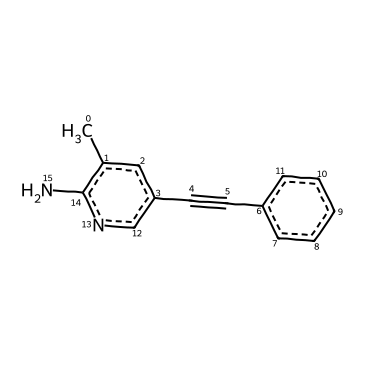 Cc1cc(C#Cc2ccccc2)cnc1N